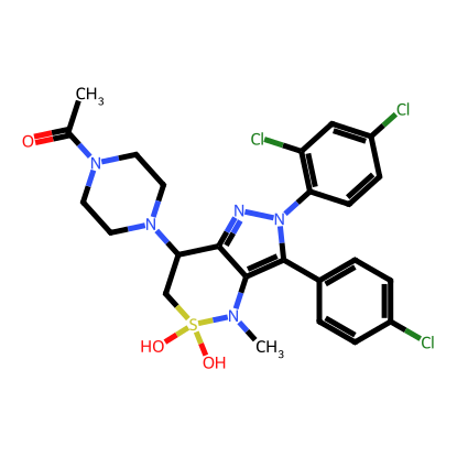 CC(=O)N1CCN(C2CS(O)(O)N(C)c3c2nn(-c2ccc(Cl)cc2Cl)c3-c2ccc(Cl)cc2)CC1